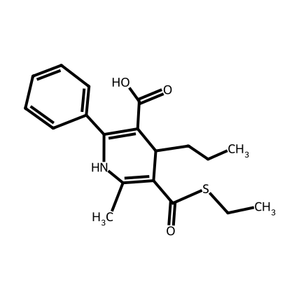 CCCC1C(C(=O)SCC)=C(C)NC(c2ccccc2)=C1C(=O)O